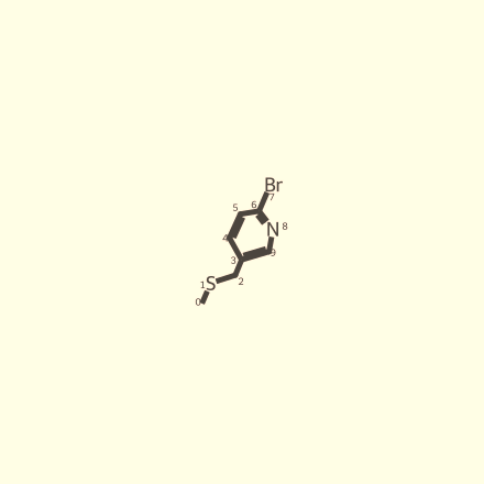 CSCc1ccc(Br)nc1